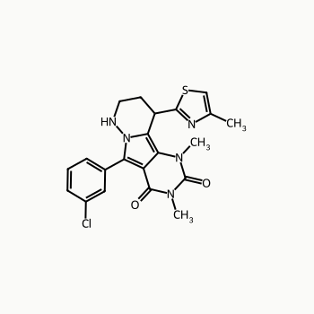 Cc1csc(C2CCNn3c(-c4cccc(Cl)c4)c4c(=O)n(C)c(=O)n(C)c4c32)n1